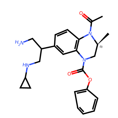 CC(=O)N1c2ccc(C(CN)CNC3CC3)cc2N(C(=O)Oc2ccccc2)C[C@@H]1C